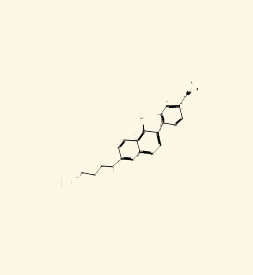 CCCCCc1ccc2c(F)c(-c3ccc(C#N)cc3)ccc2c1